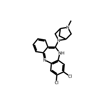 CN1CC2CC1CN2C1=c2ccccc2=Nc2cc(Cl)c(Cl)cc2N1